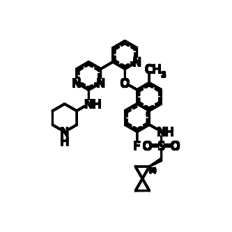 Cc1ccc2c(NS(=O)(=O)C[C@@H]3CC34CC4)c(F)ccc2c1Oc1ncccc1-c1ccnc(NC2CCCNC2)n1